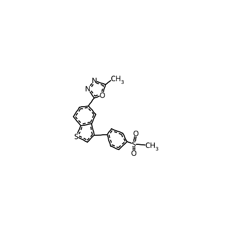 Cc1nnc(-c2ccc3scc(-c4ccc(S(C)(=O)=O)cc4)c3c2)o1